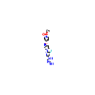 CC(C)OC(=O)N1CCC(ON=C2CCN(c3ncc(N/C=N\C=N)cc3F)CC2)CC1